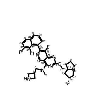 CN(CC1CNC1)c1nc(OC[C@@]23CCCN2C[C@H](F)C3)nc2c(F)c(-c3cccc4ccc(F)c(Cl)c34)ncc12